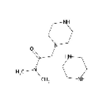 C1CNCCN1.CN(C)C(=O)CN1CCNCC1